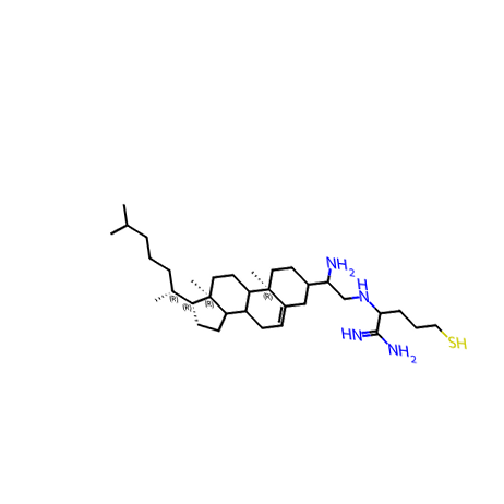 CC(C)CCC[C@@H](C)[C@H]1CCC2C3CC=C4CC(C(N)CNC(CCCS)C(=N)N)CC[C@]4(C)C3CC[C@@]21C